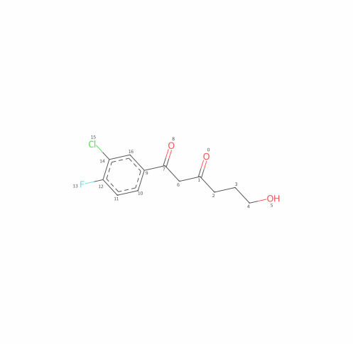 O=C(CCCO)CC(=O)c1ccc(F)c(Cl)c1